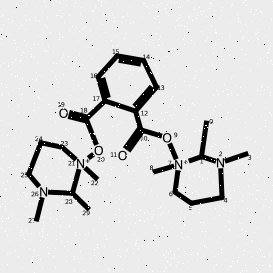 CC1N(C)CCC[N+]1(C)OC(=O)c1ccccc1C(=O)O[N+]1(C)CCCN(C)C1C